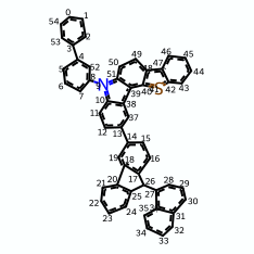 c1ccc(-c2cccc(-n3c4ccc(-c5ccc6c(c5)-c5ccccc5C6c5cccc6ccccc56)cc4c4c5sc6ccccc6c5ccc43)c2)cc1